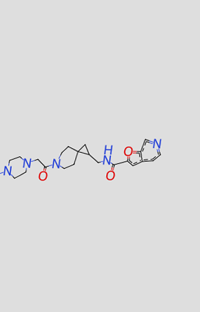 CN1CCN(CC(=O)N2CCC3(CC2)CC3CNC(=O)c2cc3ccncc3o2)CC1